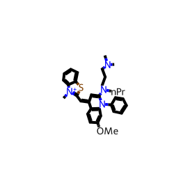 CCCN(CCCN(C)C)C1=C/C(=C\c2sc3ccccc3[n+]2C)c2ccc(OC)cc2N1c1ccccc1